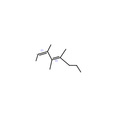 C/[C]=C(C)\C(C)=C(/C)CCC